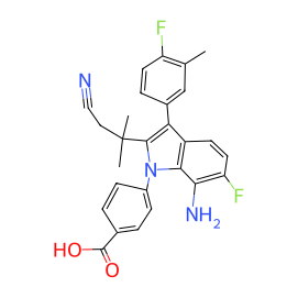 Cc1cc(-c2c(C(C)(C)CC#N)n(-c3ccc(C(=O)O)cc3)c3c(N)c(F)ccc23)ccc1F